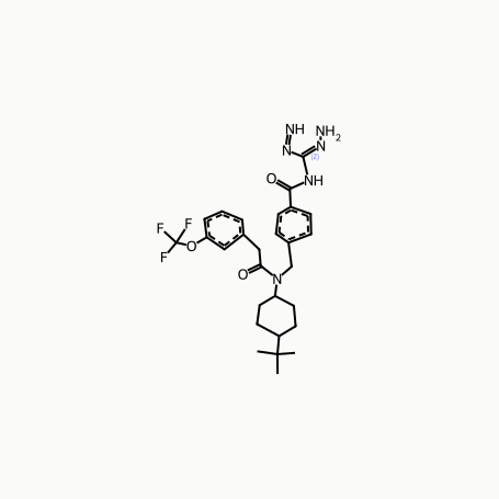 CC(C)(C)C1CCC(N(Cc2ccc(C(=O)N/C(N=N)=N/N)cc2)C(=O)Cc2cccc(OC(F)(F)F)c2)CC1